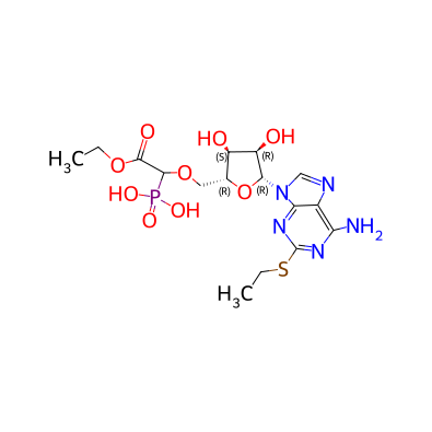 CCOC(=O)C(OC[C@H]1O[C@@H](n2cnc3c(N)nc(SCC)nc32)[C@H](O)[C@@H]1O)P(=O)(O)O